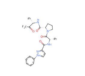 CC(C)[C@H](NC(=O)c1ccn(-c2ccccc2)n1)C(=O)N1CCC[C@H]1C(=O)N[C@H](C(=O)C(F)(F)F)C(C)C